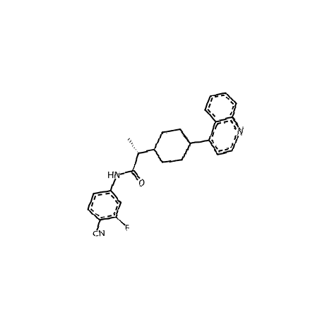 C[C@@H](C(=O)Nc1ccc(C#N)c(F)c1)C1CCC(c2ccnc3ccccc23)CC1